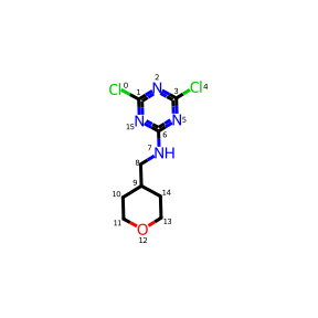 Clc1nc(Cl)nc(NCC2CCOCC2)n1